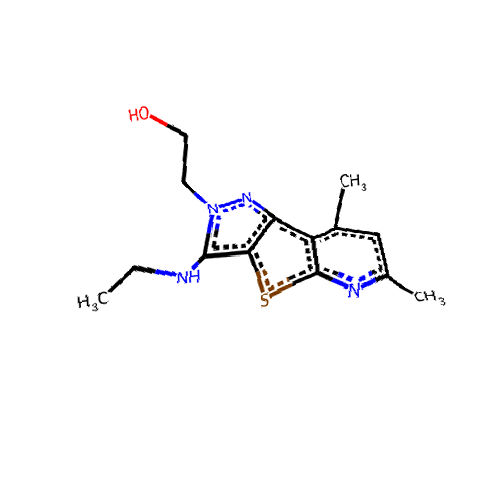 CCNc1c2sc3nc(C)cc(C)c3c2nn1CCO